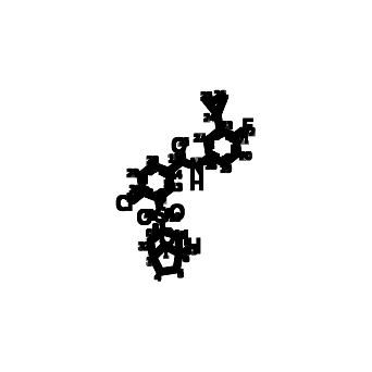 C[C@@]1(O)C2CC[C@H]1C[C@H](S(=O)(=O)c1cc(C(=O)Nc3ccc(F)c(C4CC4)c3)ccc1Cl)C2